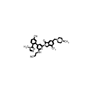 CN1CCN(Cc2cc3c(c(C(F)(F)F)c2)CN(c2cc(-c4cc(C#N)ccc4-c4nncn4C)cc(NCCC#N)n2)C3=O)CC1